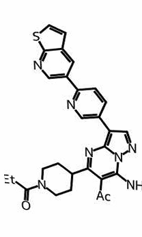 CCC(=O)N1CCC(c2nc3c(-c4ccc(-c5cnc6sccc6c5)nc4)cnn3c(N)c2C(C)=O)CC1